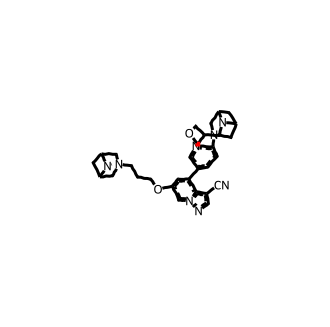 CN1C2CC1CN(CCCOc1cc(-c3ccc(N4CC5CC(C4)N5CC4COC4)nc3)c3c(C#N)cnn3c1)C2